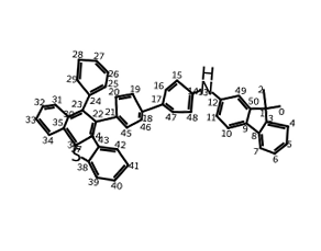 CC1(C)c2ccccc2-c2ccc(Nc3ccc(-c4ccc(-c5c(-c6ccccc6)c6ccccc6c6sc7ccccc7c56)cc4)cc3)cc21